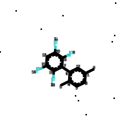 Cc1ccc(C)c(-c2c(F)c(F)cc(F)c2F)c1